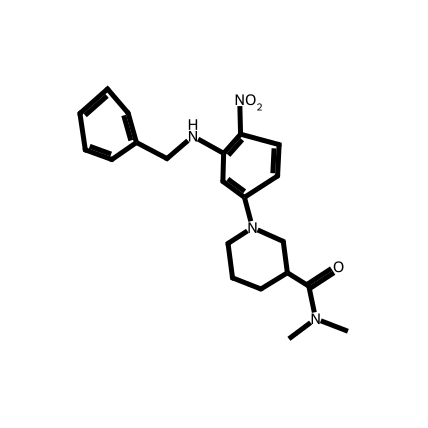 CN(C)C(=O)C1CCCN(c2ccc([N+](=O)[O-])c(NCc3ccccc3)c2)C1